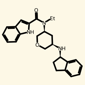 CCN(C(=O)c1cc2ccccc2[nH]1)[C@@H]1COC[C@H](N[C@@H]2CCc3ccccc32)C1